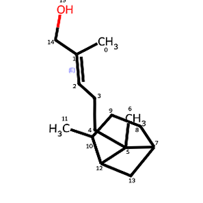 C/C(=C\CCC1(C)C2CCC(C)C1C2)CO